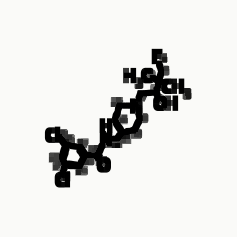 CC(C)(CF)C(O)CN1CCC(CNC(=O)c2cc(Cl)cc(Cl)c2)CC1